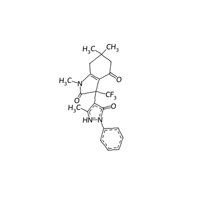 Cc1[nH]n(-c2ccccc2)c(=O)c1C1(C(F)(F)F)C(=O)N(C)C2=C1C(=O)CC(C)(C)C2